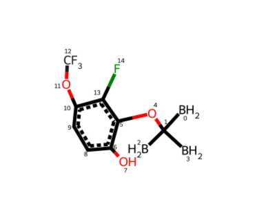 BC(B)(B)Oc1c(O)ccc(OC(F)(F)F)c1F